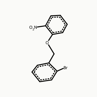 O=[N+]([O-])c1ccccc1OCc1ccccc1Br